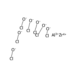 [Al+3].[O-]Cl.[O-]Cl.[O-]Cl.[O-]Cl.[O-]Cl.[O-]Cl.[O-]Cl.[Zr+4]